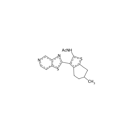 CC(=O)Nc1sc2c(c1-c1nc3cnccc3s1)CCC(C)C2